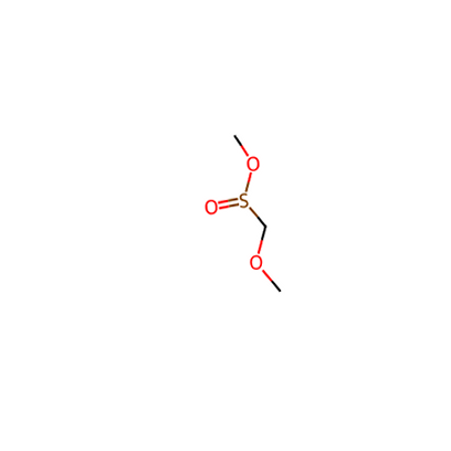 COCS(=O)OC